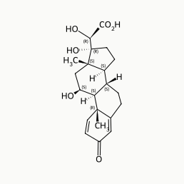 C[C@]12C=CC(=O)C=C1CC[C@@H]1[C@@H]2[C@@H](O)C[C@@]2(C)[C@H]1CC[C@]2(O)[C@@H](O)C(=O)O